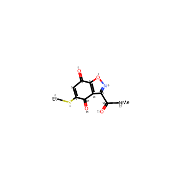 CCSC1=CC(=O)c2onc(C(=O)NC)c2C1=O